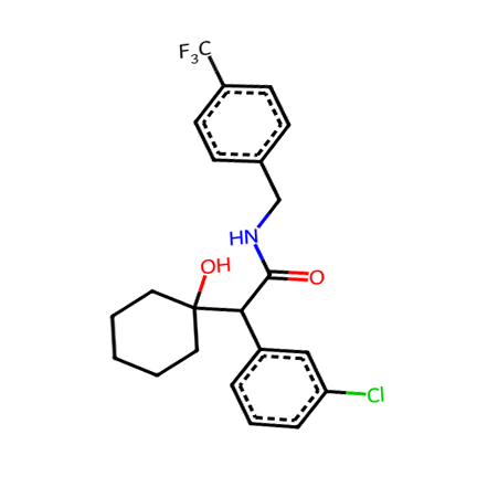 O=C(NCc1ccc(C(F)(F)F)cc1)C(c1cccc(Cl)c1)C1(O)CCCCC1